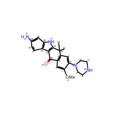 COc1cc2c(cc1N1CCNCC1)C(C)(C)c1[nH]c3cc(N)ccc3c1C2=O